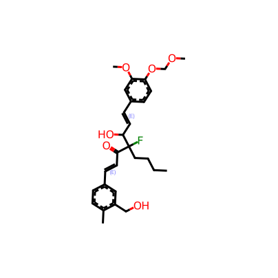 CCCCC(F)(C(=O)/C=C/c1ccc(C)c(CO)c1)C(O)/C=C/c1ccc(OCOC)c(OC)c1